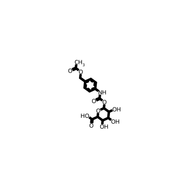 CC(=O)OCc1ccc(NC(=O)OC2OC(C(=O)O)C(O)C(O)C2O)cc1